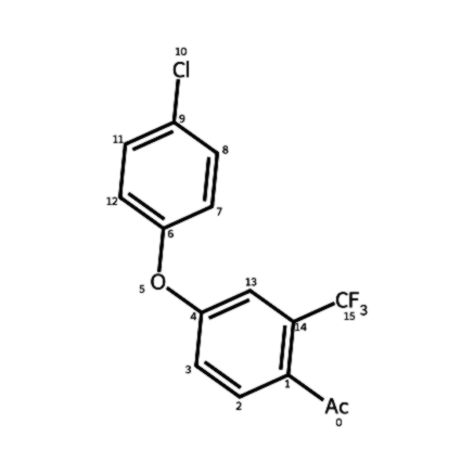 CC(=O)c1ccc(Oc2ccc(Cl)cc2)cc1C(F)(F)F